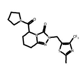 Cc1nc(C(F)(F)F)c(Cn2nc3n(c2=O)C(C(=O)N2CCCC2)CCC3)s1